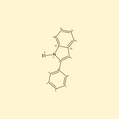 CCn1c(-c2cc[c]cc2)cc2ccccc21